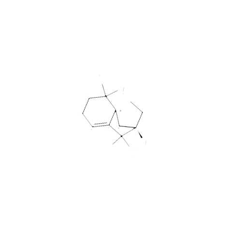 CC1(C)C2=CCCC(C)(C)[C@]23CC[C@H]1C3